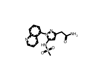 CS(=O)(=O)Nc1cc(CC(N)=O)nn1-c1cccc2ncccc12